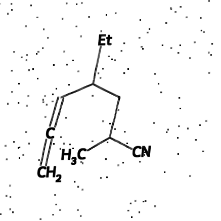 C=C=CC(CC)CC(C)C#N